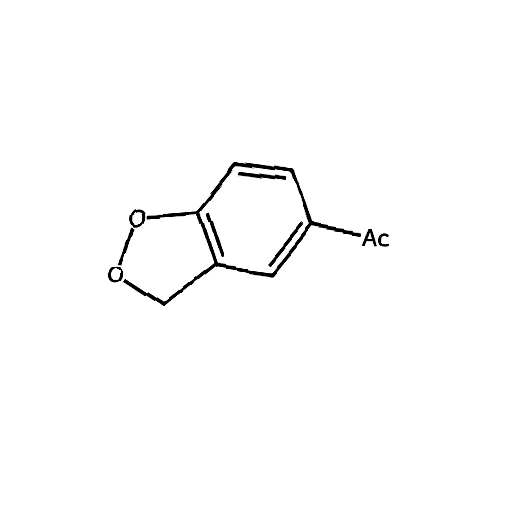 CC(=O)c1ccc2c(c1)COO2